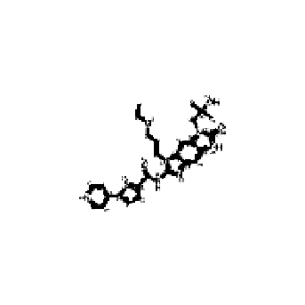 CCOCCCn1c(NC(=O)c2ccc(-c3ccncc3)s2)nc2cc3[nH]c(=O)n(CC(C)(C)O)c3cc21